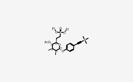 CCOP(=O)(CC[C@H]1O[C@H](Oc2ccc(C#C[Si](C)(C)C)cc2)[C@@H](C)[C@@H](C)[C@@H]1OC(C)=O)OCC